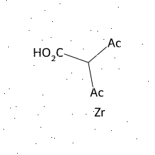 CC(=O)C(C(C)=O)C(=O)O.[Zr]